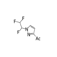 CC(=O)c1ccn(C(F)C(F)F)n1